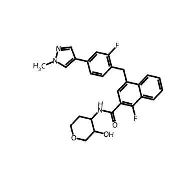 Cn1cc(-c2ccc(Cc3cc(C(=O)NC4CCOCC4O)c(F)c4ccccc34)c(F)c2)cn1